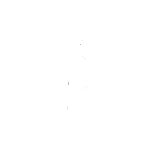 CC1CN(c2ccc(-n3ncc4cc(F)c(O)c(F)c43)cc2)CC(C)O1